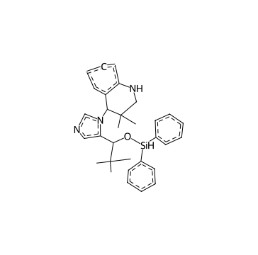 CC(C)(C)C(O[SiH](c1ccccc1)c1ccccc1)c1cncn1C1c2ccccc2NCC1(C)C